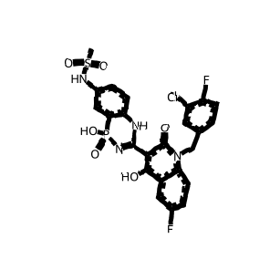 CS(=O)(=O)Nc1ccc2c(c1)P(=O)(O)N=C(c1c(O)c3cc(F)ccc3n(Cc3ccc(F)c(Cl)c3)c1=O)N2